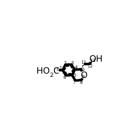 O=C(O)c1ccc2c(c1)CCO[C@H]2CCO